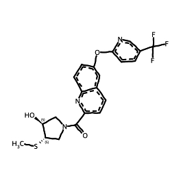 CS[C@H]1CN(C(=O)c2ccc3cc(Oc4ccc(C(F)(F)F)cn4)ccc3n2)C[C@@H]1O